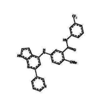 COc1ccc(Nc2cc(-c3cccnc3)nc3[nH]ccc23)cc1C(=O)Nc1cccc(C(F)(F)F)c1